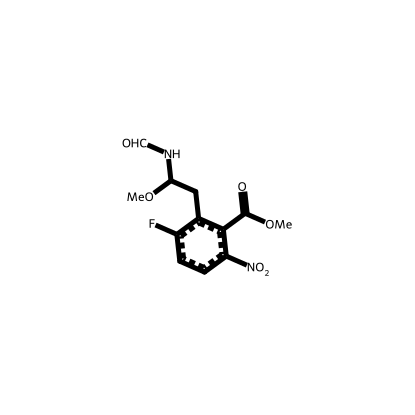 COC(=O)c1c([N+](=O)[O-])ccc(F)c1CC(NC=O)OC